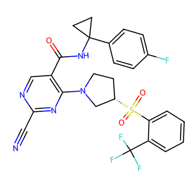 N#Cc1ncc(C(=O)NC2(c3ccc(F)cc3)CC2)c(N2CC[C@H](S(=O)(=O)c3ccccc3C(F)(F)F)C2)n1